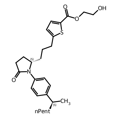 CCCCC[C@H](C)c1ccc(N2C(=O)CC[C@@H]2CCCc2ccc(C(=O)OCCO)s2)cc1